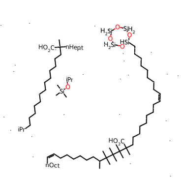 CC(C)O[Si](C)(C)C.CCCCCCCC(C)(CCCCCCCCCCCCCC(C)C)C(=O)O.CCCCCCCC/C=C\CCCCCCC(C)C(C)(C)C(C)(C)C(C)(C)C(C)(CCCCCCCC/C=C\CCCCCCCC[SiH]1O[SiH2]O[SiH2]O[SiH2]O1)C(=O)O